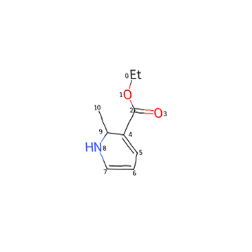 CCOC(=O)C1=CC=CNC1C